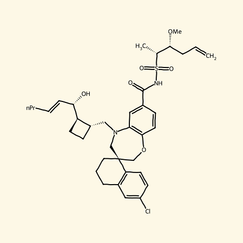 C=CC[C@@H](OC)[C@@H](C)S(=O)(=O)NC(=O)c1ccc2c(c1)N(C[C@@H]1CC[C@H]1[C@@H](O)/C=C/CCC)C[C@@]1(CCCc3cc(Cl)ccc31)CO2